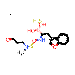 CN(CCC=O)SONC(Cc1coc2ccccc12)B(O)O.S